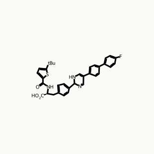 CC(C)(C)c1ccc(C(=O)N[C@@H](Cc2ccc(C3N=CC(c4ccc(-c5ccc(F)cc5)cc4)=CN3)cc2)C(=O)O)s1